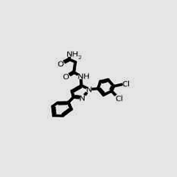 NC(=O)CC(=O)Nc1cc(-c2ccccc2)nn1-c1ccc(Cl)c(Cl)c1